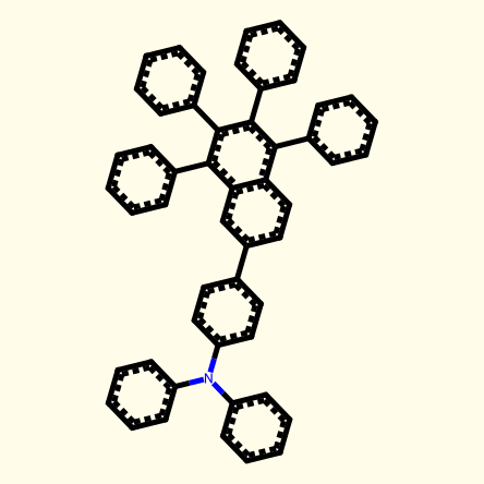 c1ccc(-c2c(-c3ccccc3)c(-c3ccccc3)c3cc(-c4ccc(N(c5ccccc5)c5ccccc5)cc4)ccc3c2-c2ccccc2)cc1